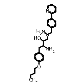 CCCCOc1ccc(CC(N)C(O)CN(N)Cc2ccc(-c3ccccn3)cc2)cc1